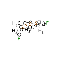 CCC(C)(c1ccc(F)cc1)c1cc(C)c(-c2ccc(-c3ccc(-c4sc(C(C)(C)c5ccc(F)cc5)cc4C)s3)s2)s1